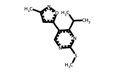 CSc1ncc(-c2cc(C)no2)c(C(C)C)n1